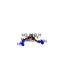 COc1cc(C(C)C(=O)C(C)c2ccc(OCCCCN3CCN(c4n[nH]c5ccccc45)CC3)c(OC)c2)ccc1OCCCCN1CCN(c2n[nH]c3ccccc23)CC1.O=C(O)/C=C/C(=O)O